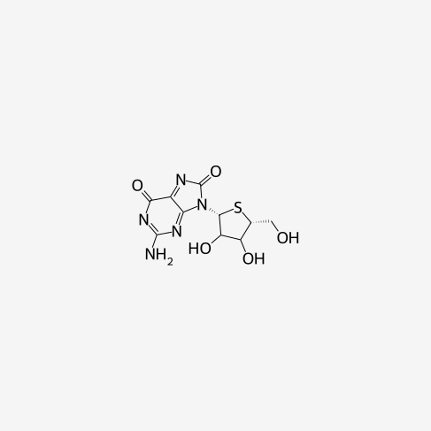 NC1=NC(=O)C2=NC(=O)N([C@@H]3S[C@H](CO)C(O)C3O)C2=N1